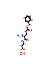 NC(CCC(=O)OCc1ccccc1)C(=O)NCCCSO